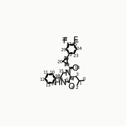 CC(C)C[C@H]1C(=O)N[C@@H](c2ccccc2)CN1C(=O)[C@@H]1C[C@H]1c1ccc(F)c(F)c1